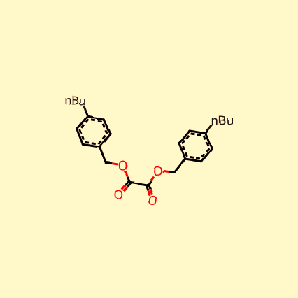 CCCCc1ccc(COC(=O)C(=O)OCc2ccc(CCCC)cc2)cc1